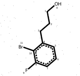 OCCCc1cccc(F)c1Br